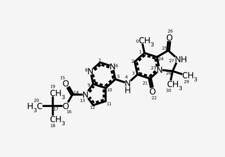 Cc1cc(Nc2ncnc3c2ccn3C(=O)OC(C)(C)C)c(=O)n2c1C(=O)NC2(C)C